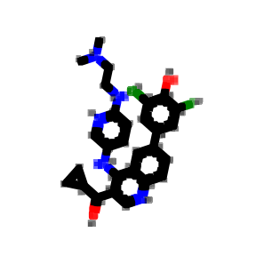 CN(C)CCNc1ccc(Nc2c(C(=O)C3CC3)cnc3ccc(-c4cc(F)c(O)c(Cl)c4)cc23)cn1